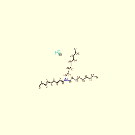 CCCCCCCCCN(CCCCCCCCC)CCCCCCCCC.F